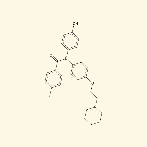 Cc1ccc(C(=O)N(c2ccc(O)cc2)c2ccc(OCCN3CCCCC3)cc2)cc1